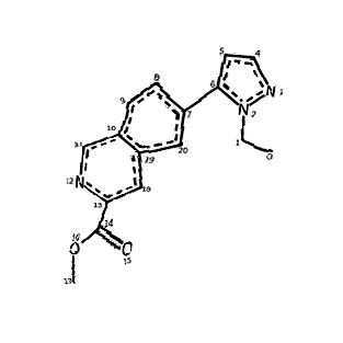 CCn1nccc1-c1ccc2cnc(C(=O)OC)cc2c1